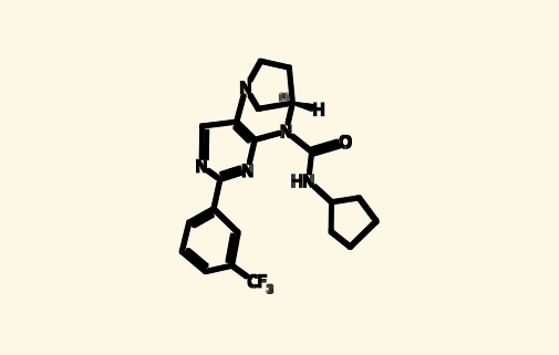 O=C(NC1CCCC1)N1c2nc(-c3cccc(C(F)(F)F)c3)ncc2N2CC[C@H]1C2